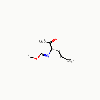 BOC=N[C@@H](CCC(=O)O)C(=O)OC